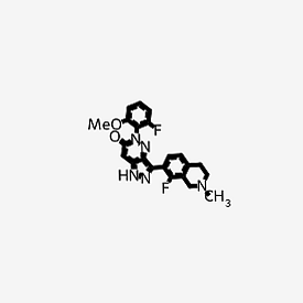 COc1cccc(F)c1-n1nc2c(-c3ccc4c(c3F)CN(C)CC4)n[nH]c2cc1=O